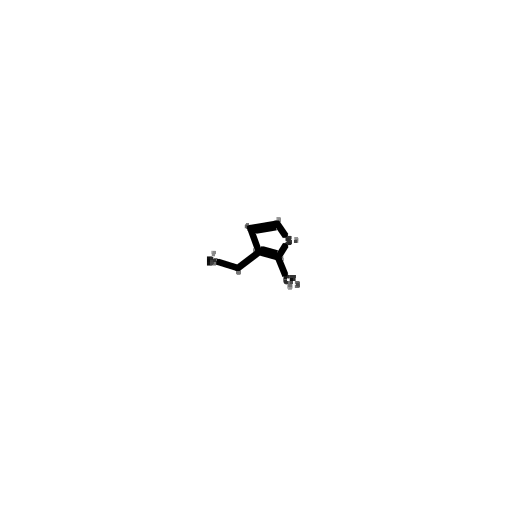 FC(F)(F)c1sccc1CBr